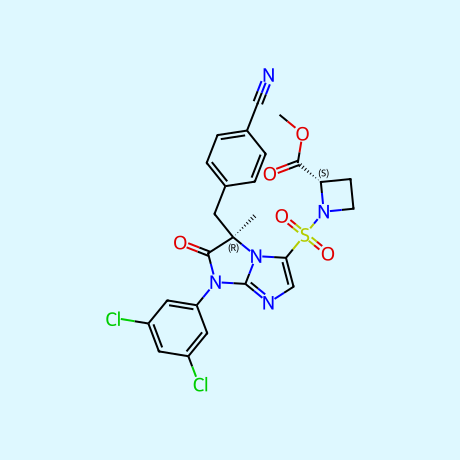 COC(=O)[C@@H]1CCN1S(=O)(=O)c1cnc2n1[C@](C)(Cc1ccc(C#N)cc1)C(=O)N2c1cc(Cl)cc(Cl)c1